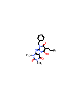 CC(C)CCc1c(O)n2c3c(=O)n(C)c(=O)n(C)c3nc2n(Cc2ccccc2)c1=O